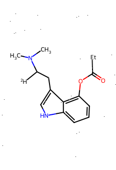 [2H]C(Cc1c[nH]c2cccc(OC(=O)CC)c12)N(C)C